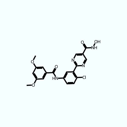 COc1cc(OC)cc(C(=O)Nc2ccc(Cl)c(-c3ncc(C(=O)NO)cn3)c2)c1